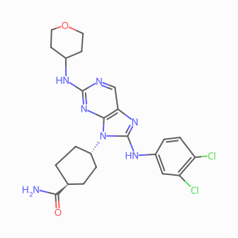 NC(=O)[C@H]1CC[C@H](n2c(Nc3ccc(Cl)c(Cl)c3)nc3cnc(NC4CCOCC4)nc32)CC1